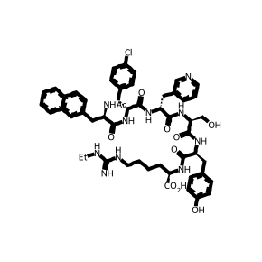 CCNC(=N)NCCCC[C@@H](NC(=O)[C@H](Cc1ccc(O)cc1)NC(=O)[C@H](CO)NC(=O)[C@@H](Cc1cccnc1)NC(=O)[C@@H](Cc1ccc(Cl)cc1)NC(=O)[C@@H](Cc1ccc2ccccc2c1)NC(C)=O)C(=O)O